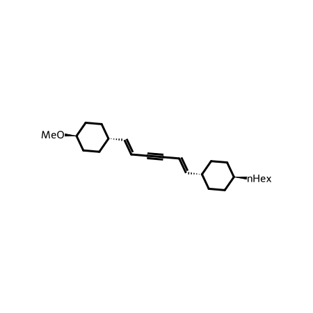 CCCCCC[C@H]1CC[C@H](C=CC#CC=C[C@H]2CC[C@H](OC)CC2)CC1